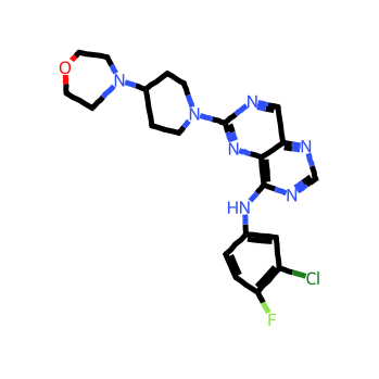 Fc1ccc(Nc2ncnc3cnc(N4CCC(N5CCOCC5)CC4)nc23)cc1Cl